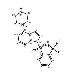 O=S(=O)(c1ccccc1C(F)(F)F)n1ccc2c(N3CCNCC3)nccc21